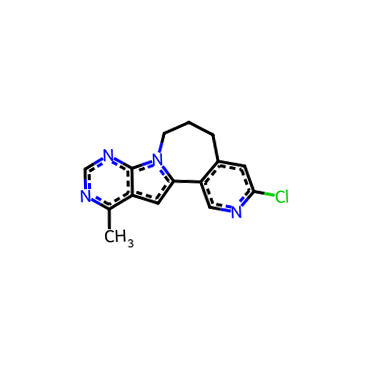 Cc1ncnc2c1cc1n2CCCc2cc(Cl)ncc2-1